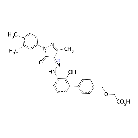 CC1=NN(c2ccc(C)c(C)c2)C(=O)/C1=N\Nc1cccc(-c2ccc(COCC(=O)O)cc2)c1O